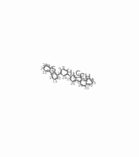 CC1(C)c2cc(-c3cccc(-c4cccc5c4sc4ccccc45)c3)ccc2-c2ccc3ccccc3c21